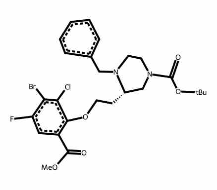 COC(=O)c1cc(F)c(Br)c(Cl)c1OCC[C@H]1CN(C(=O)OC(C)(C)C)CCN1Cc1ccccc1